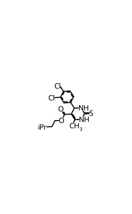 CC1=C(C(=O)OCCC(C)C)C(c2ccc(Cl)c(Cl)c2)NC(=S)N1